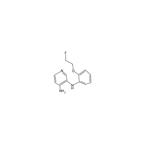 Nc1ccncc1Nc1ccccc1OCCF